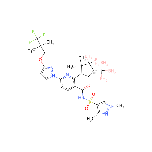 BC(B)(B)[C@@H]1CC(c2nc(-n3ccc(OCC(C)(C)C(F)(F)F)n3)ccc2C(=O)NS(=O)(=O)c2cn(C)nc2C)C(C)(C)C1(B)B